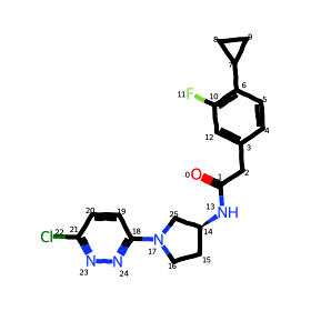 O=C(Cc1ccc(C2CC2)c(F)c1)N[C@H]1CCN(c2ccc(Cl)nn2)C1